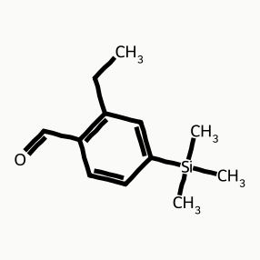 CCc1cc([Si](C)(C)C)ccc1C=O